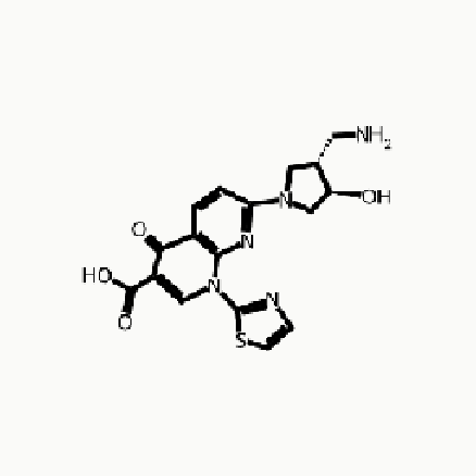 NC[C@H]1CN(c2ccc3c(=O)c(C(=O)O)cn(-c4nccs4)c3n2)C[C@@H]1O